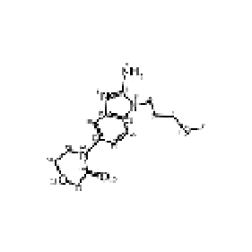 CSCCCn1c(N)nc2cc(N3CCOCC3=O)ccc21